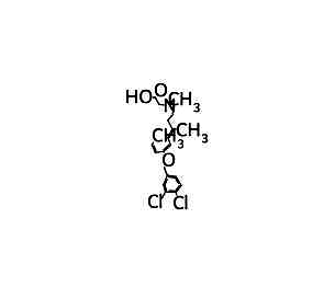 C\C=C/C(=C\C=C(/C)CCN(C)CC(=O)O)OCc1ccc(Cl)c(Cl)c1